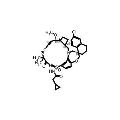 CO[C@H]1/C=C/COC(C)(C)C(=O)N=[S@@](=O)(NC(=O)CC2CC2)c2ccc3c(c2)N(C[C@@H]2CC[C@H]21)C[C@@]1(CCCc2cc(Cl)ccc21)CO3